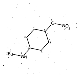 CC(C)(C)NC1CCC(O[N+](=O)[O-])CC1